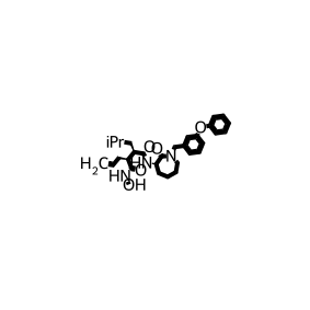 C=CC[C@H](C(=O)NO)[C@@H](CC(C)C)C(=O)N[C@H]1CCCCN(Cc2cccc(Oc3ccccc3)c2)C1=O